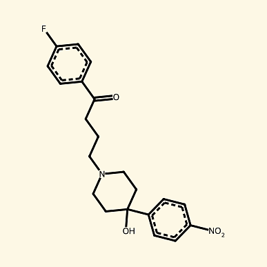 O=C(CCCN1CCC(O)(c2ccc([N+](=O)[O-])cc2)CC1)c1ccc(F)cc1